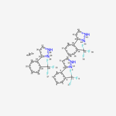 FC(F)(F)c1ccccc1-c1cc[nH]n1.FC(F)(F)c1ccccc1-c1cc[nH]n1.FC(F)(F)c1ccccc1-c1cc[nH]n1.[Ir+3]